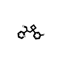 O=CC(CC1(c2cccc(F)c2)CCC1)c1ccccn1